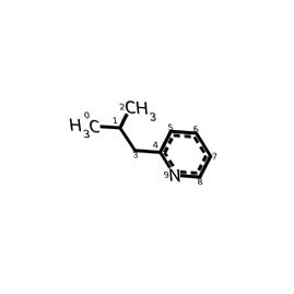 CC(C)Cc1ccccn1